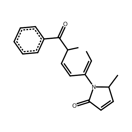 C/C=C(\C=C/C(C)C(=O)c1ccccc1)N1C(=O)C=CC1C